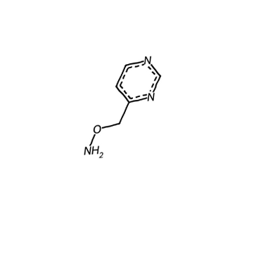 NOCc1ccncn1